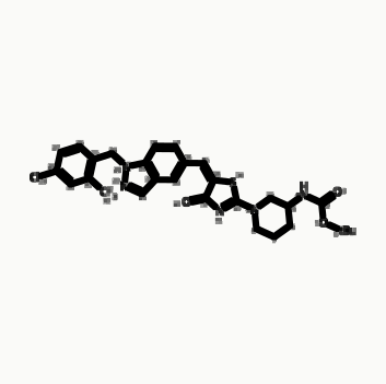 CC(C)(C)OC(=O)NC1CCCN(C2=NC(=O)C(=Cc3ccc4c(cnn4Cc4ccc(Cl)cc4C(F)(F)F)c3)S2)C1